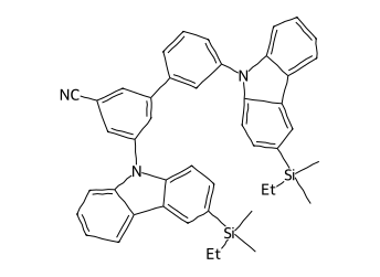 CC[Si](C)(C)c1ccc2c(c1)c1ccccc1n2-c1cccc(-c2cc(C#N)cc(-n3c4ccccc4c4cc([Si](C)(C)CC)ccc43)c2)c1